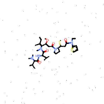 CCC(C)C(C(CC(=O)N1CCCC1C(CC(=O)N(CC)c1cccs1)SC)OC)N(C)C(=O)C(NC(=O)C(C(C)C)N(C)C)C(C)C